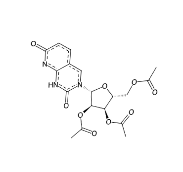 CC(=O)OC[C@H]1O[C@@H](n2cc3ccc(=O)nc-3[nH]c2=O)[C@H](OC(C)=O)[C@@H]1OC(C)=O